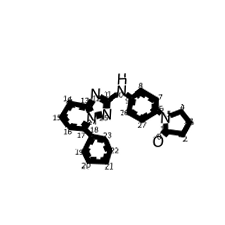 O=C1CCCN1c1ccc(Nc2nc3cccc(-c4ccccc4)n3n2)cc1